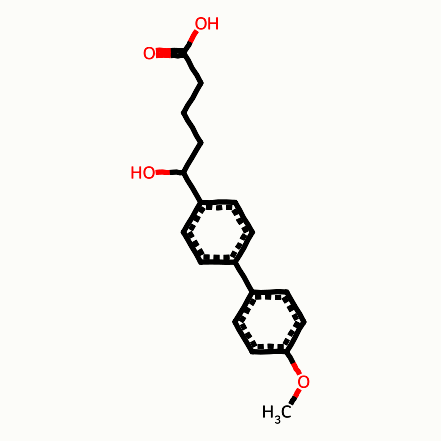 COc1ccc(-c2ccc(C(O)CCCC(=O)O)cc2)cc1